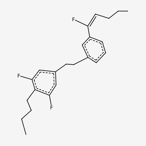 CCC/C=C(/F)c1cccc(CCc2cc(F)c(CCCC)c(F)c2)c1